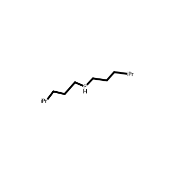 CC(C)CCCPCCCC(C)C